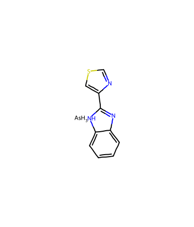 [AsH3].c1ccc2[nH]c(-c3cscn3)nc2c1